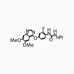 CCCNC(=O)Nc1ccc(Oc2ncnc3cc(OC)c(OC)cc23)cc1F